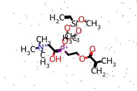 C=C(C)C(=O)OCC/[P+]([O-])=C(\O)C[N+](C)(C)C.C=C[Si](OC)(OC)OC